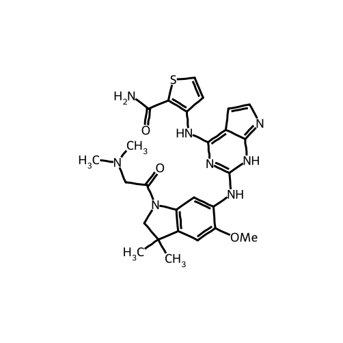 COc1cc2c(cc1Nc1nc(Nc3ccsc3C(N)=O)c3ccnc-3[nH]1)N(C(=O)CN(C)C)CC2(C)C